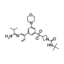 C=C/C(=C\N=C(\N)C(C)C)c1cc(N2CCOCC2)cc(S(=O)(=O)C2CN(C(=O)NC(C)(C)C)C2)c1